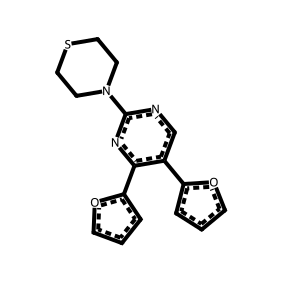 c1coc(-c2cnc(N3CCSCC3)nc2-c2ccco2)c1